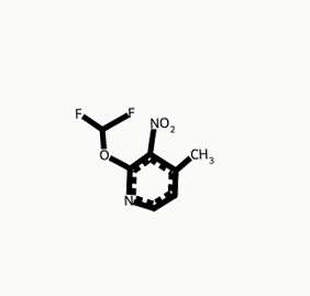 Cc1ccnc(OC(F)F)c1[N+](=O)[O-]